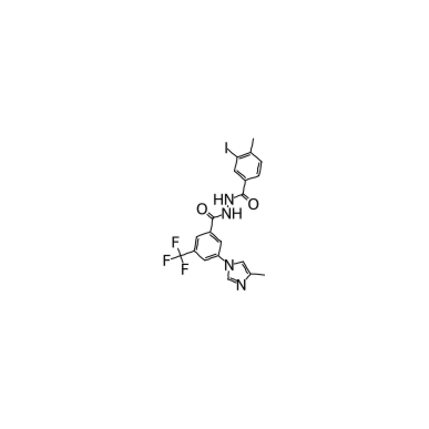 Cc1cn(-c2cc(C(=O)NNC(=O)c3ccc(C)c(I)c3)cc(C(F)(F)F)c2)cn1